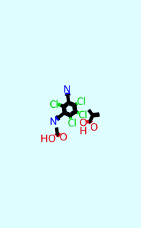 C=C(C)C(=O)O.CC(=O)O.N#Cc1c(Cl)c(Cl)c(Cl)c(C#N)c1Cl